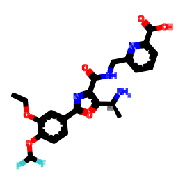 CCOc1cc(-c2nc(C(=O)NCc3cccc(C(=O)O)n3)c([C@H](C)N)o2)ccc1OC(F)F